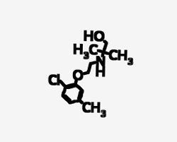 Cc1ccc(Cl)c(OCCNC(C)(C)CO)c1